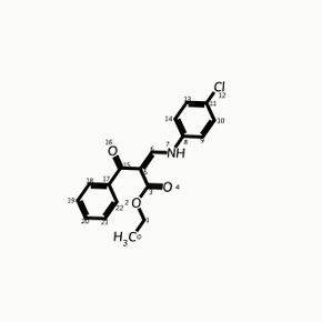 CCOC(=O)C(=CNc1ccc(Cl)cc1)C(=O)c1ccccc1